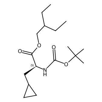 CCC(CC)COC(=O)[C@H](CC1CC1)NC(=O)OC(C)(C)C